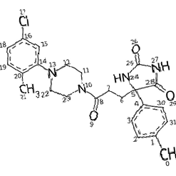 Cc1ccc(C2(CCC(=O)N3CCN(c4cc(Cl)ccc4C)CC3)NC(=O)NC2=O)cc1